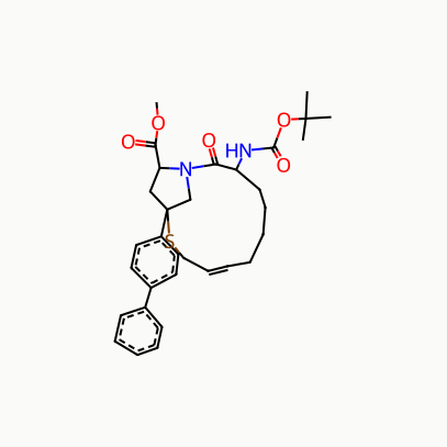 COC(=O)C1CC2(c3ccc(-c4ccccc4)cc3)CN1C(=O)C(NC(=O)OC(C)(C)C)CCCCC=CCS2